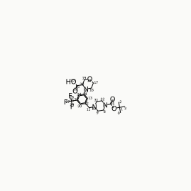 CC(C)(C)OC(=O)N1CCN(Cc2cc(N3CCOCC3C(=O)O)cc(C(F)(F)F)c2)CC1